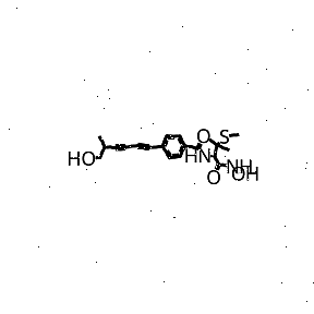 CSC(C)(C)[C@H](NC(=O)c1ccc(C#CC#CC(C)CO)cc1)C(=O)NO